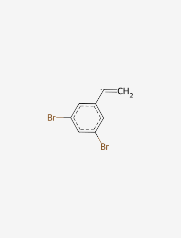 C=[C]c1cc(Br)cc(Br)c1